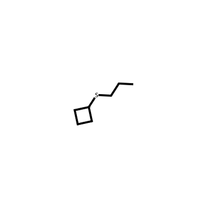 CCCS[C]1CCC1